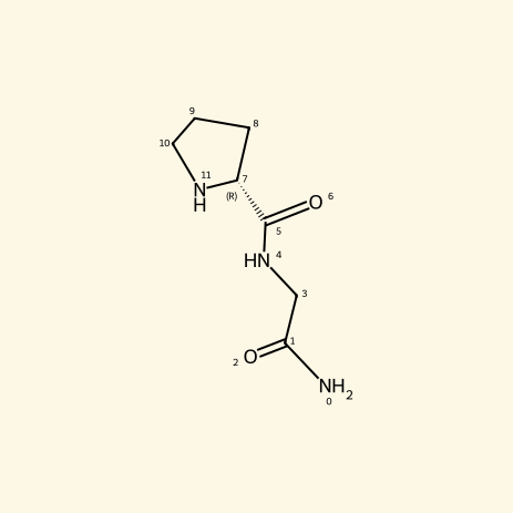 NC(=O)CNC(=O)[C@H]1CCCN1